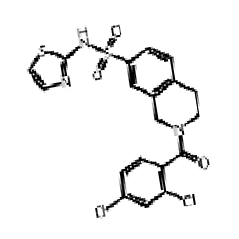 O=C(c1ccc(Cl)cc1Cl)N1CCc2ccc(S(=O)(=O)Nc3nccs3)cc2C1